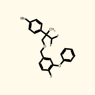 CC(C)(C)c1ccc(C(C)(COCc2ccc(F)c(Oc3ccccc3)c2)C(F)F)cc1